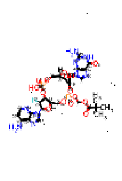 CC(C)(C)C(=O)OCOP1(=O)OC[C@H]2O[C@@H](n3cnc4c(N)ccnc43)[C@@H](F)C2OP(=O)(O)OC[C@H]2O[C@@H](n3cnc4c(=O)[nH]c(N)nc43)C(O1)[C@H]2O